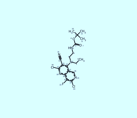 CCN(CCNC(=O)OC(C)(C)C)c1c(C#N)c(Cl)nc2c(F)c(Cl)ncc12